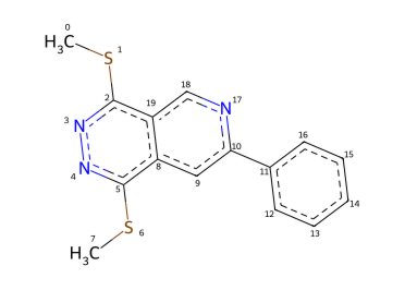 CSc1nnc(SC)c2cc(-c3ccccc3)ncc12